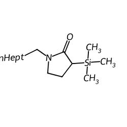 CCCCCCCCN1CCC([Si](C)(C)C)C1=O